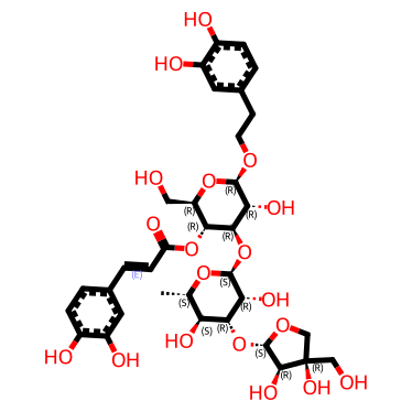 C[C@@H]1O[C@@H](O[C@@H]2[C@@H](O)[C@H](OCCc3ccc(O)c(O)c3)O[C@H](CO)[C@H]2OC(=O)/C=C/c2ccc(O)c(O)c2)[C@H](O)[C@H](O[C@@H]2OC[C@](O)(CO)[C@H]2O)[C@H]1O